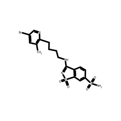 Cc1cc(Br)cnc1CCCCNC1=NS(=O)(=O)c2cc(S(N)(=O)=O)ccc21